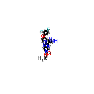 CCOC(=O)N1CCc2nc(N3CCC(Oc4ccc(F)cc4F)CC3)c(-c3cn[nH]c3)nc2C1